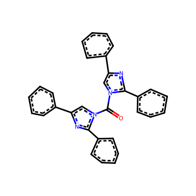 O=C(n1cc(-c2ccccc2)nc1-c1ccccc1)n1cc(-c2ccccc2)nc1-c1ccccc1